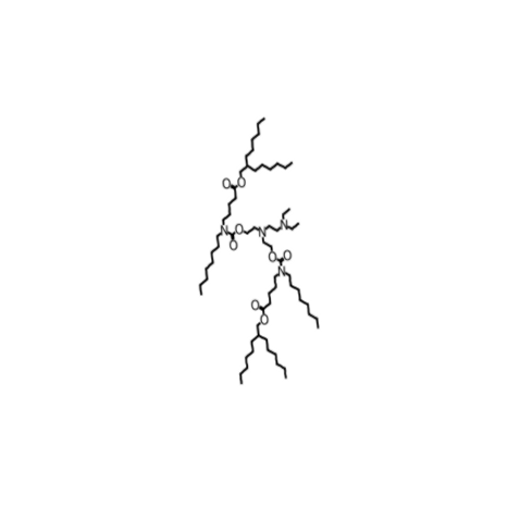 CCCCCCCCN(CCCCC(=O)OCC(CCCCCC)CCCCCC)C(=O)OCCN(CCOC(=O)N(CCCCCCCC)CCCCC(=O)OCC(CCCCCC)CCCCCC)CCN(CC)CC